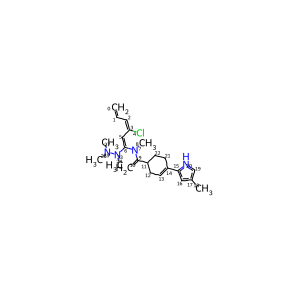 C=C/C=C(Cl)\C=C(/N(C)C(=C)C1CC=C(c2cc(C)c[nH]2)CC1)N(C)N(C)C